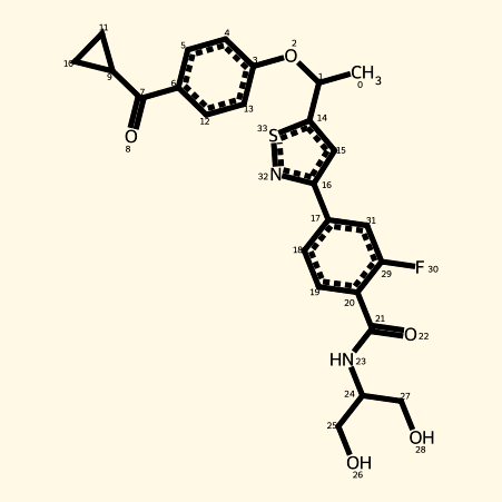 CC(Oc1ccc(C(=O)C2CC2)cc1)c1cc(-c2ccc(C(=O)NC(CO)CO)c(F)c2)ns1